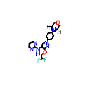 FC(F)COc1nn([C@H]2CC[C@H](N3[C@@H]4CC[C@H]3COC4)CC2)cc1Nc1ncccn1